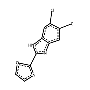 Clc1cc2nc(-c3ncco3)[nH]c2cc1Cl